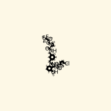 COc1cccc2c1c(NS(=O)(=O)c1ccc(Cl)s1)nn2Cc1cccc(CNC(=O)[C@@H]2CCN2OC(=O)C(F)(F)F)c1